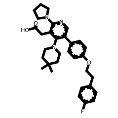 CC1(C)CCN(c2c(-c3ccc(OCCc4ccc(F)cc4)cc3)cnc(N3CCCC3)c2CC(=O)O)CC1